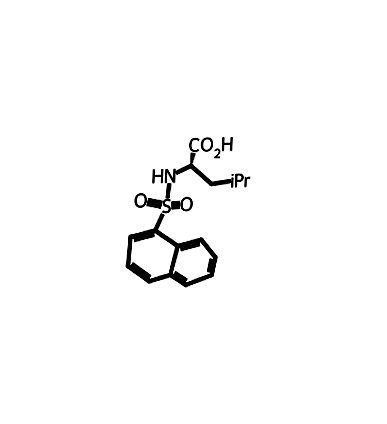 CC(C)C[C@@H](NS(=O)(=O)c1cccc2ccccc12)C(=O)O